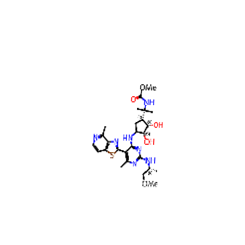 COC[C@@H](C)Nc1nc(C)c(-c2nc3c(C)nccc3s2)c(NC2C[C@H](C(C)(C)NC(=O)OC)[C@@H](O)[C@H]2O)n1